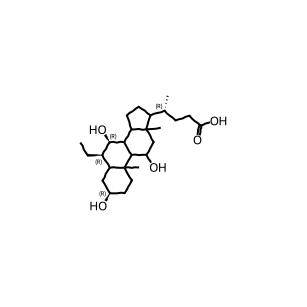 CC[C@@H]1C2C[C@H](O)CCC2(C)C2C(O)CC3(C)C(CCC3[C@H](C)CCC(=O)O)C2[C@@H]1O